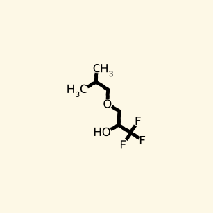 CC(C)COCC(O)C(F)(F)F